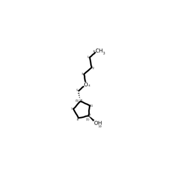 CCCCOC[C@H]1CC[C@H](O)C1